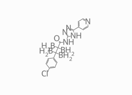 BC(B)(C(=O)Nc1nnc(-c2ccncc2)[nH]1)C(B)(B)c1ccc(Cl)cc1